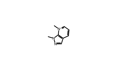 Cn1ncc2ccc[n+](C)c21